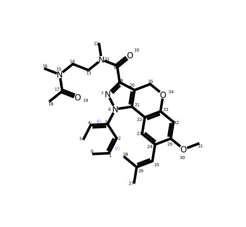 C/C=C\C(=C/C)n1nc(C(=O)N(C)CCN(C)C(C)=O)c2c1-c1cc(C=C(C)C)c(OC)cc1OC2